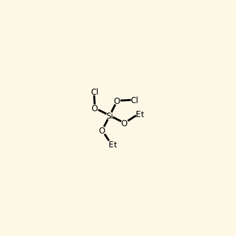 CCO[Si](OCl)(OCl)OCC